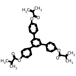 C=C(C)C(=O)Oc1ccc(-c2cc(-c3ccc(OC(=O)C(=C)C)cc3)cc(-c3ccc(OC(=O)C(=C)C)cc3)c2)cc1